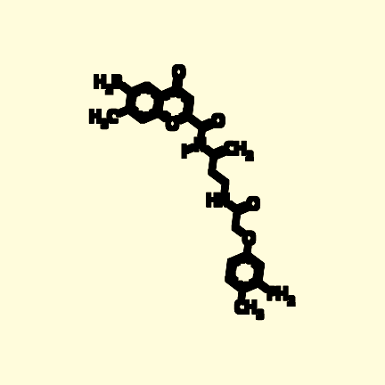 Bc1cc2c(=O)cc(C(=O)N(I)C(=C)CCNC(=O)COc3ccc(C)c(P)c3)oc2cc1C